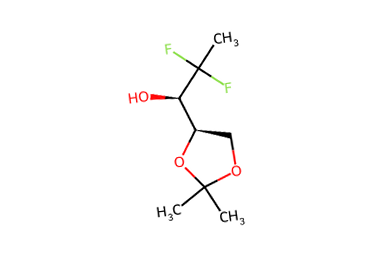 CC1(C)OC[C@H]([C@@H](O)C(C)(F)F)O1